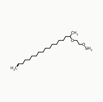 C=CCCCCCCCCCCCCCCC(C)OCCO[SiH3]